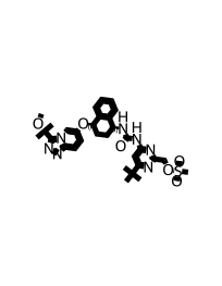 COC(C)(C)c1nnc2ccc(O[C@@H]3CC[C@H](NC(=O)Nc4cc(C(C)(C)C)nc(COS(C)(=O)=O)n4)c4ccccc43)cn12